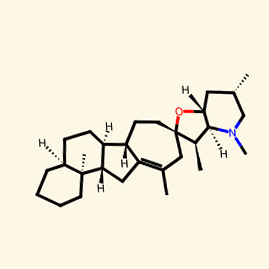 CC1=C2C[C@H]3[C@@H](CC[C@@H]4CCCC[C@@]43C)[C@@H]2CC[C@@]2(C1)O[C@@H]1C[C@H](C)CN(C)[C@H]1[C@H]2C